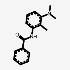 Cc1c(NC(=O)c2ccccc2)cccc1N(C)C